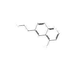 NCCc1ccc2nccc(Cl)c2c1